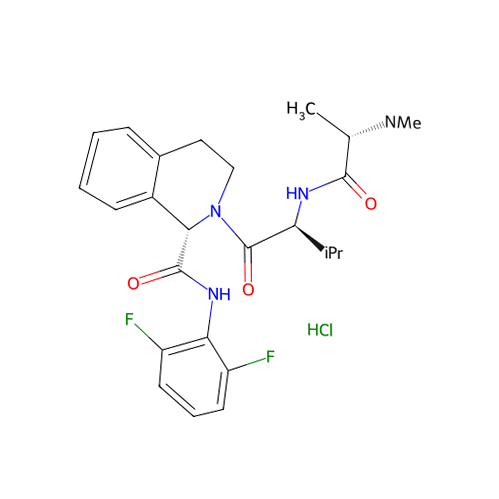 CN[C@@H](C)C(=O)N[C@H](C(=O)N1CCc2ccccc2[C@H]1C(=O)Nc1c(F)cccc1F)C(C)C.Cl